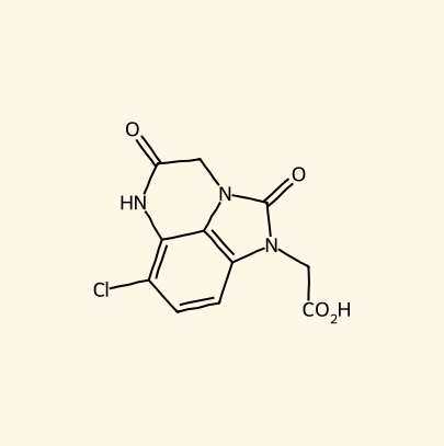 O=C(O)Cn1c(=O)n2c3c(c(Cl)ccc31)NC(=O)C2